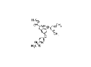 COCC(COC)Oc1cc(Oc2ccc(S(C)(=O)=O)nc2)cc2cc(C(=O)OC)[nH]c12